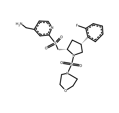 NCc1ccnc(S(=O)(=O)C[C@@H]2C[C@H](c3ccccc3F)CN2S(=O)(=O)N2CCOCC2)c1